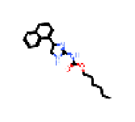 CCCCCCOC(=O)NC1=NC(c2cccc3ccccc23)CN1